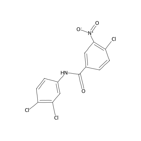 O=C(Nc1ccc(Cl)c(Cl)c1)c1ccc(Cl)c([N+](=O)[O-])c1